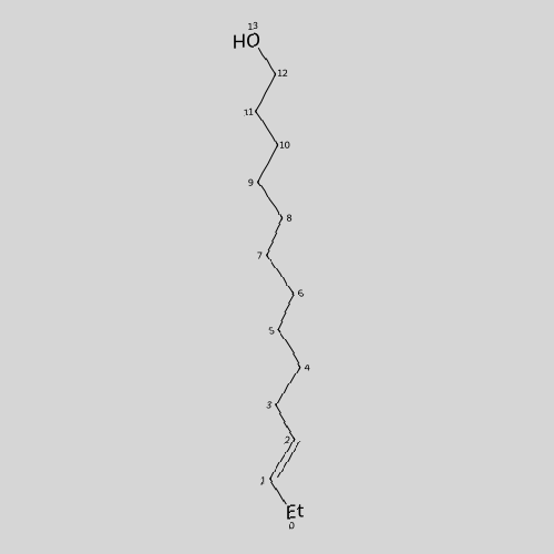 CC/C=C/CCCCCCCCCCO